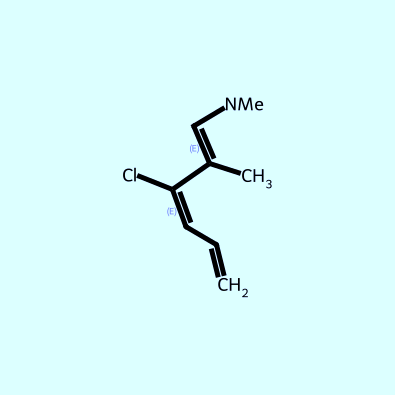 C=C/C=C(Cl)\C(C)=C\NC